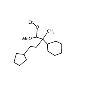 CCOC(OC)C(C)(CCC1CCCC1)C1CCCCC1